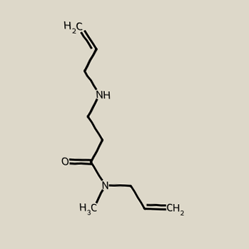 C=CCNCCC(=O)N(C)CC=C